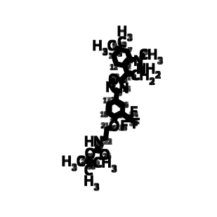 C=C(C1=C(N(C)N)CC(C)(C)CC1)c1nc(-c2ccc(OCCNC(=O)OC(C)(C)C)c(C(F)(F)F)c2)no1